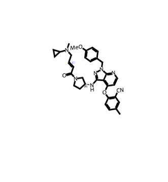 COc1ccc(Cn2nc(N[C@@H]3CCN(C(=O)/C=C/CN(C)C4CC4)C3)c3c(Oc4ccc(C)cc4C#N)ccnc32)cc1